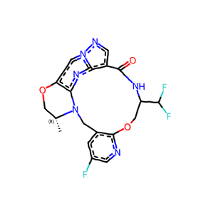 C[C@@H]1COc2cn3ncc4c3nc2N1Cc1cc(F)cnc1OCC(C(F)F)NC4=O